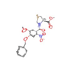 COC(=O)[C@@H]1CSCN1C(=O)c1cc(OC)c(OCc2ccccc2)cc1[N+](=O)[O-]